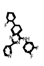 Fc1ccc(Nc2nc(-c3cccnc3)nc3c2=CCC(C2C=CC=CC2F)C=3)cc1F